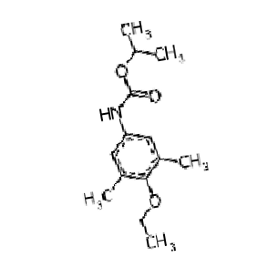 CCOc1c(C)cc(NC(=O)OC(C)C)cc1C